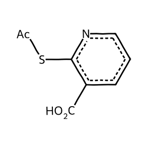 CC(=O)Sc1ncccc1C(=O)O